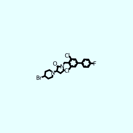 O=C1C(N2CCC(Br)CC2)CCN1Cc1c(Cl)cc(-c2ccc(F)cc2)cc1Cl